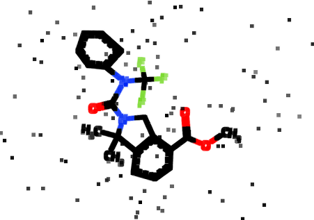 COC(=O)c1cccc2c1CN(C(=O)N(c1ccccc1)C(F)(F)F)C2(C)C